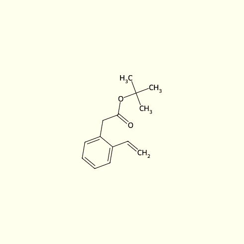 C=Cc1ccccc1CC(=O)OC(C)(C)C